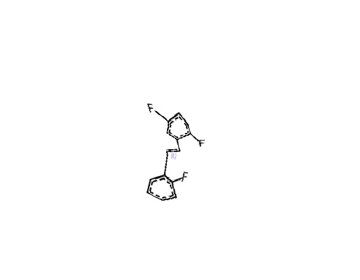 Fc1ccc(F)c(/C=C/c2ccccc2F)c1